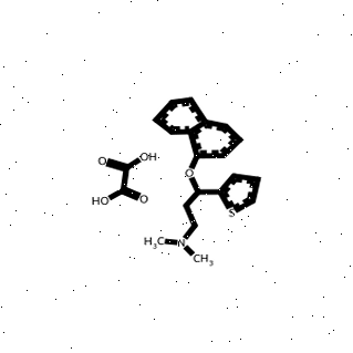 CN(C)CCC(Oc1cccc2ccccc12)c1cccs1.O=C(O)C(=O)O